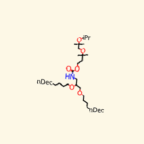 CCCCCCCCCCCCCCOCC(CNC(=O)OCCC(C)(C)OCC(C)(C)OC(C)C)OCCCCCCCCCCCCCC